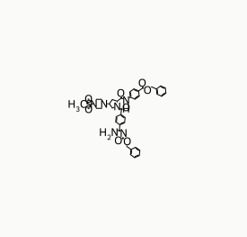 CS(=O)(=O)N1CCN([C@H]2CC(C(=O)Nc3ccc(C(=O)OCc4ccccc4)cc3)N(C(=O)c3ccc(/C(N)=N/C(=O)OCc4ccccc4)cc3)C2)CC1